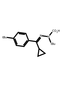 CC(C)(C)c1ccc(C(=NN(C(=O)O)C(C)(C)C)C2CC2)cc1